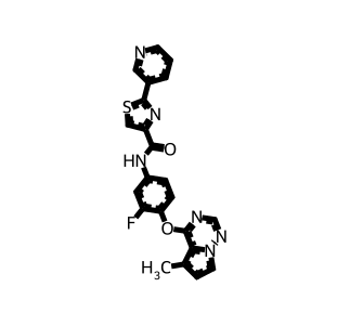 Cc1ccn2ncnc(Oc3ccc(NC(=O)c4csc(-c5cccnc5)n4)cc3F)c12